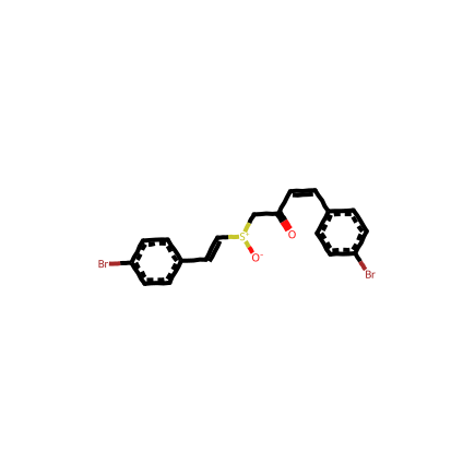 O=C(/C=C\c1ccc(Br)cc1)C[S+]([O-])C=Cc1ccc(Br)cc1